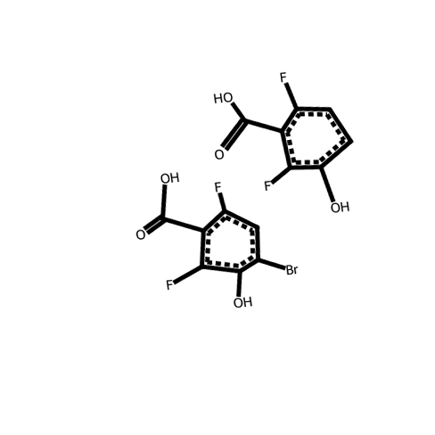 O=C(O)c1c(F)cc(Br)c(O)c1F.O=C(O)c1c(F)ccc(O)c1F